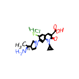 C[C@H](N)C1CCN(c2cc3c(cc2F)cc(C(=O)O)c(=O)n3C2CC2)C1.Cl